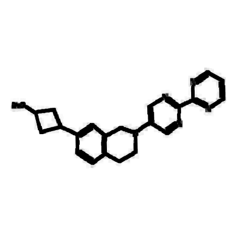 COC1CC(c2ccc3c(c2)CN(c2cnc(-c4ncccn4)nc2)CC3)C1